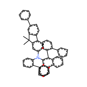 CC1(C)c2cc(-c3ccccc3)ccc2-c2ccc(N(c3ccccc3-c3ccccc3)c3c(-c4ccccc4-c4ccccc4)c4ccccc4c4ccccc34)cc21